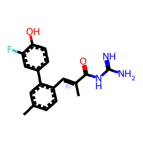 C/C(=C\c1ccc(C)cc1-c1ccc(O)c(F)c1)C(=O)NC(=N)N